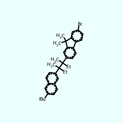 CCC(C)c1ccc2cc(C(C)(CC)C(C)(CC)c3ccc4c(c3)C(C)(C)c3cc(Br)ccc3-4)ccc2c1